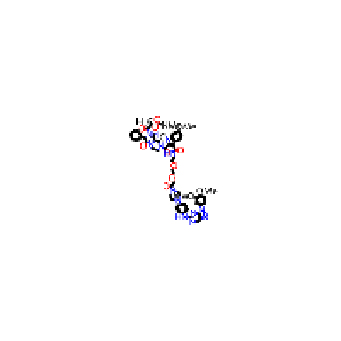 CNC(=O)OC(C)C(=O)NC(C(=O)N1CCN(C(=O)c2c(C(=O)NCCOCCOCC(=O)N3CCN(c4ccc(Nc5ncc6nnn(-c7ccc(OC)c(OC)c7)c6n5)cc4)CC3)c3ccc(OC)cc3n2C)CC1)C1CCCCC1